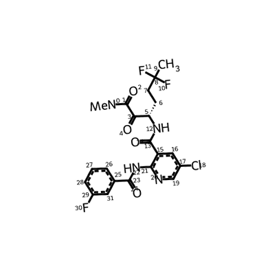 CNC(=O)C(=O)[C@H](CCC(C)(F)F)NC(=O)c1cc(Cl)cnc1NC(=O)c1cccc(F)c1